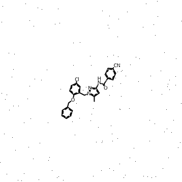 Cc1cc(NC(=O)c2ccc(C#N)cc2)nn1Cc1cc(Cl)ccc1OCc1ccccc1